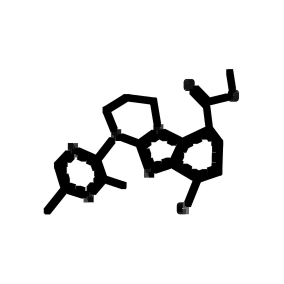 COC(=O)c1ccc(Cl)c2nc3n(c12)CCCN3c1ncc(C)nc1C